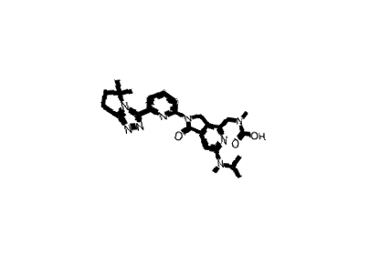 CC(C)N(C)c1cc2c(c(CN(C)C(=O)O)n1)CN(c1cccc(-c3nnc4n3C(C)(C)CC4)n1)C2=O